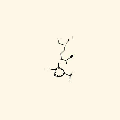 CCN(CC)CCC(Oc1cc(C(N)=O)ccc1N)C(Cl)C#N